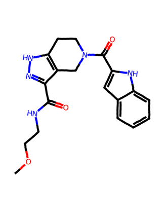 COCCNC(=O)c1n[nH]c2c1CN(C(=O)c1cc3ccccc3[nH]1)CC2